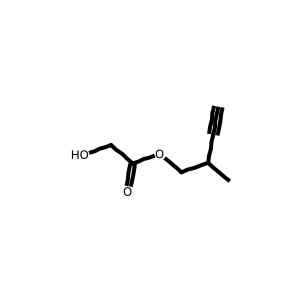 C#CC(C)COC(=O)CO